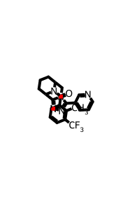 Cc1c(C(=O)N2C3CCCC2c2nnc(-c4cccnc4)n2C3)cccc1C(F)(F)F